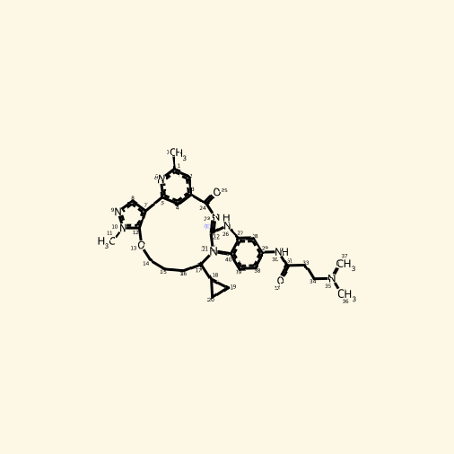 Cc1cc2cc(n1)-c1cnn(C)c1OCCCC(C1CC1)N1/C(=N/C2=O)Nc2cc(NC(=O)CCN(C)C)ccc21